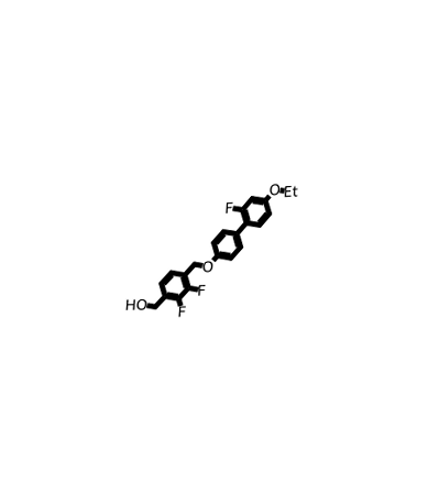 CCOc1ccc(-c2ccc(OCc3ccc(CO)c(F)c3F)cc2)c(F)c1